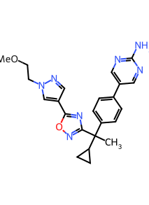 COCCn1cc(-c2nc(C(C)(c3ccc(-c4cnc(N)nc4)cc3)C3CC3)no2)cn1